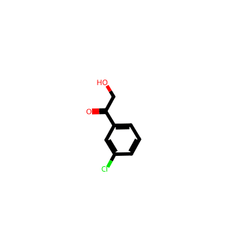 O=C(CO)c1cccc(Cl)c1